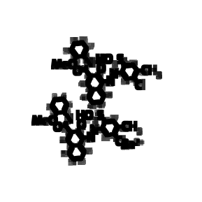 COc1ccccc1N=C([O-])c1cc2ccccc2c(N=Nc2cc(Cl)c(C)cc2S(=O)(=O)O)c1[O-].COc1ccccc1NC(=O)c1cc2ccccc2c(N=Nc2cc(Cl)c(C)cc2S(=O)(=O)O)c1O.[Ba+2]